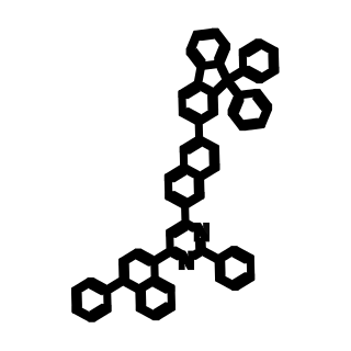 c1ccc(-c2nc(-c3ccc4cc(-c5ccc6c(c5)C(c5ccccc5)(c5ccccc5)c5ccccc5-6)ccc4c3)cc(-c3ccc(-c4ccccc4)c4ccccc34)n2)cc1